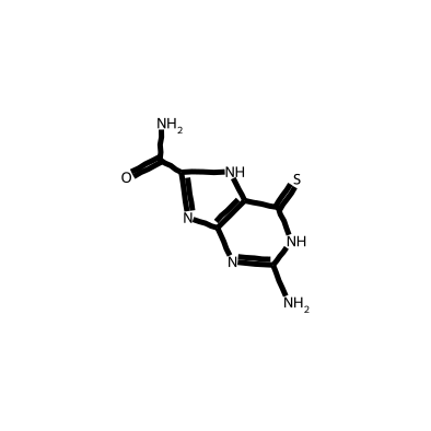 NC(=O)c1nc2nc(N)[nH]c(=S)c2[nH]1